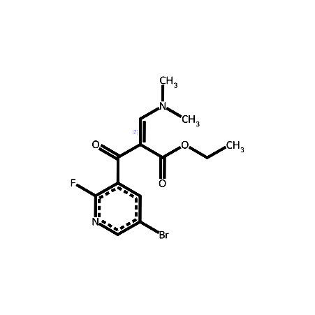 CCOC(=O)/C(=C\N(C)C)C(=O)c1cc(Br)cnc1F